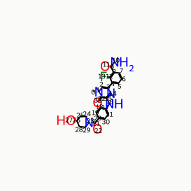 Cn1cc(-c2cccc(C(N)=O)c2F)nc(Nc2ccc(C(=O)N3CCC(O)CC3)cc2)c1=O